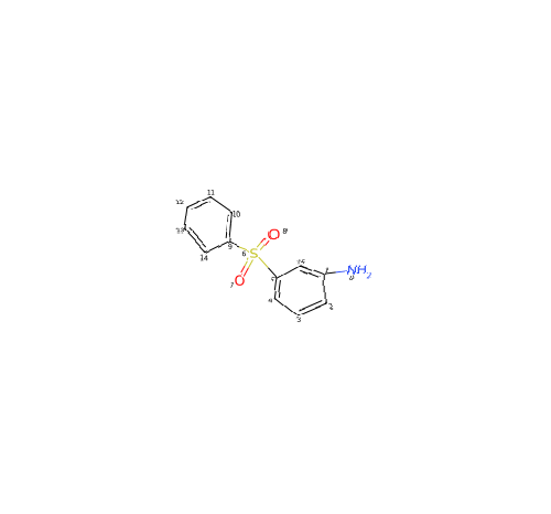 Nc1cccc(S(=O)(=O)c2ccccc2)c1